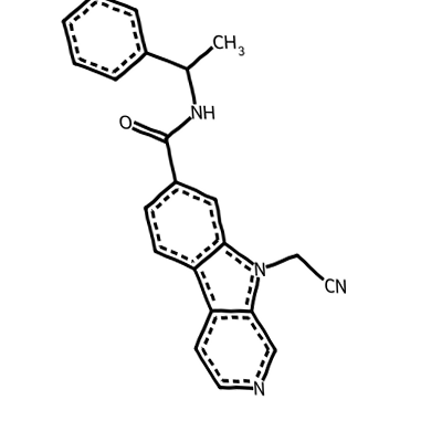 CC(NC(=O)c1ccc2c3ccncc3n(CC#N)c2c1)c1ccccc1